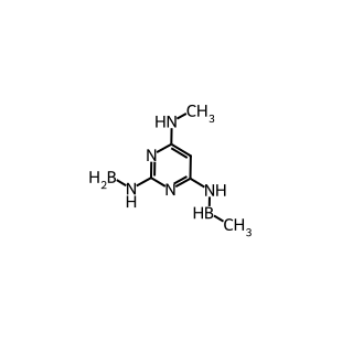 BNc1nc(NC)cc(NBC)n1